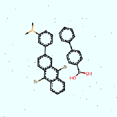 CP(C)c1cccc(-c2ccc3c(Br)c4ccccc4c(Br)c3c2)c1.OB(O)c1ccc(-c2ccccc2)cc1